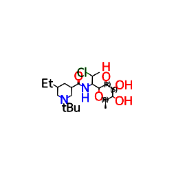 CCC1CC(C(=O)NC(C(C)Cl)C2O[C@H](C)C(O)[C@H](O)[C@H]2O)CN(C(C)(C)C)C1